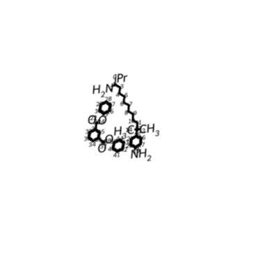 CC(C)C(N)CCCCCCCCCC(C)(C)c1ccc(N)cc1.O=C(Oc1ccccc1)c1cccc(C(=O)Oc2ccccc2)c1